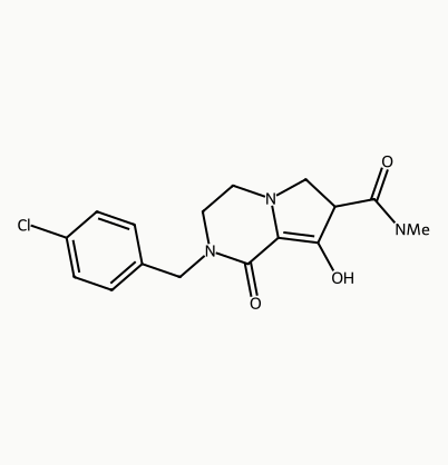 CNC(=O)C1CN2CCN(Cc3ccc(Cl)cc3)C(=O)C2=C1O